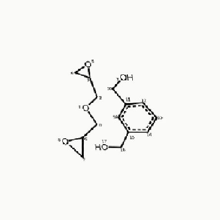 C(OCC1CO1)C1CO1.OCc1cccc(CO)c1